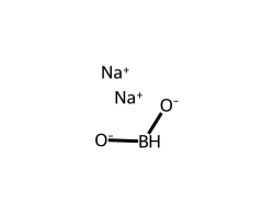 [Na+].[Na+].[O-]B[O-]